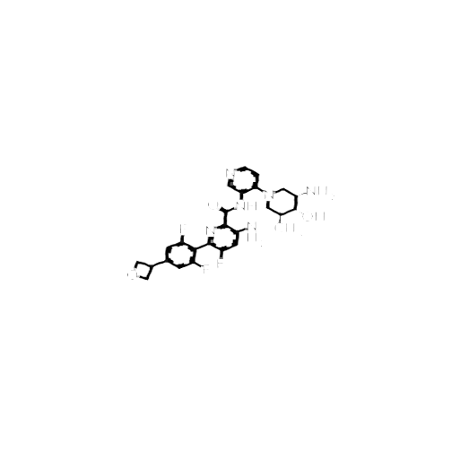 C[C@H]1CN(c2ccncc2NC(=O)c2nc(-c3c(F)cc(C4COC4)cc3F)c(F)cc2N)C[C@@H](N)[C@@H]1O